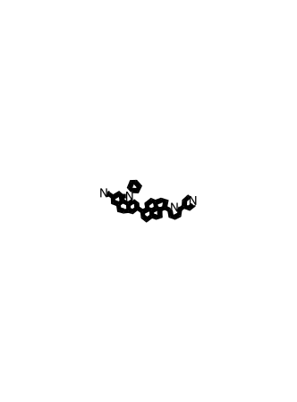 N#Cc1cc2ccc3cc(-c4ccc5ccc6c(-c7cccc(-c8ccncc8)n7)ccc7ccc4c5c76)cc4c3c2c(c1)n4-c1ccccc1